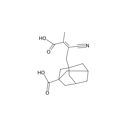 CC(C(=O)O)=C(C#N)CC12CC3CC(C1)CC(C(=O)O)(C3)C2